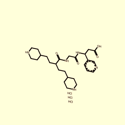 Cl.Cl.Cl.O=C(O)CC(NC(=O)CNC(=O)C(CCC1CCNCC1)CCC1CCNCC1)c1cccnc1